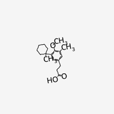 COc1c(C)cc(CCC(=O)O)cc1C1(C)CCCCC1